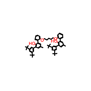 Cc1cc(-c2cc(C(C)(C)C)cc(C(C)(C)C)c2)c(O)c(-c2ccccc2OCCCCCOc2ccccc2-c2cc(C)cc(-c3cc(C(C)(C)C)cc(C(C)(C)C)c3)c2O)c1